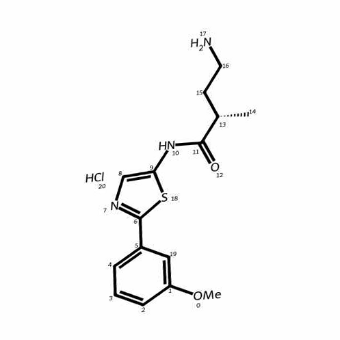 COc1cccc(-c2ncc(NC(=O)[C@@H](C)CCN)s2)c1.Cl